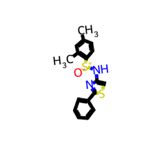 Cc1ccc([S+]([O-])Nc2csc(-c3ccccc3)n2)c(C)c1